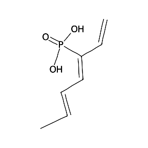 C=CC(=CC=CC)P(=O)(O)O